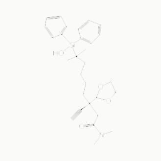 C#C[C@](CCCCC(C)(C)[Si](O)(c1ccccc1)c1ccccc1)(CC(=O)N(C)C)C1OCCO1